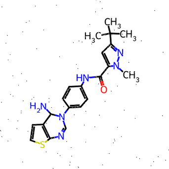 Cn1nc(C(C)(C)C)cc1C(=O)Nc1ccc(N2C=Nc3sccc3C2N)cc1